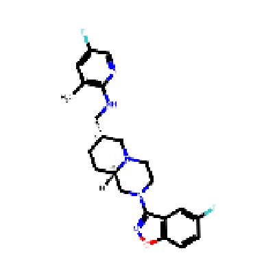 Cc1cc(F)cnc1NC[C@H]1CC[C@H]2CN(c3noc4ccc(F)cc34)CCN2C1